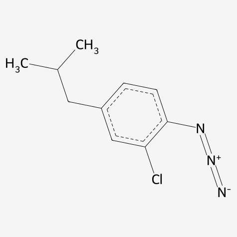 CC(C)Cc1ccc(N=[N+]=[N-])c(Cl)c1